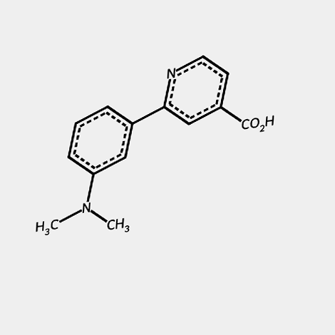 CN(C)c1cccc(-c2cc(C(=O)O)ccn2)c1